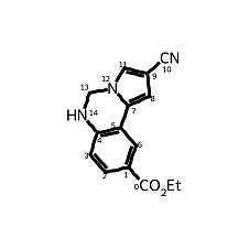 CCOC(=O)c1ccc2c(c1)-c1cc(C#N)cn1CN2